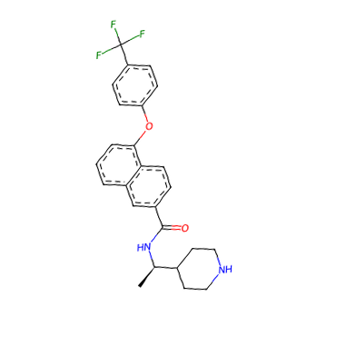 C[C@@H](NC(=O)c1ccc2c(Oc3ccc(C(F)(F)F)cc3)cccc2c1)C1CCNCC1